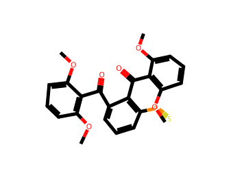 COc1cccc(OC)c1C(=O)c1cccc(P=S)c1C(=O)c1c(OC)cccc1OC